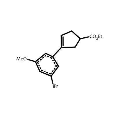 CCOC(=O)C1CC=C(c2cc(OC)cc(C(C)C)c2)C1